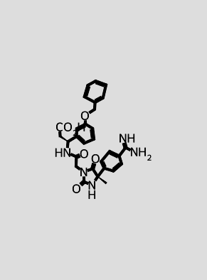 C[C@@]1(c2ccc(C(=N)N)cc2)NC(=O)N(CC(=O)N[C@@H](CC(=O)O)c2cccc(OCc3ccccc3)c2)C1=O